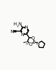 C[C@@H]1OB(N2CCCC2)OC1c1cnc(N)c(C#N)n1